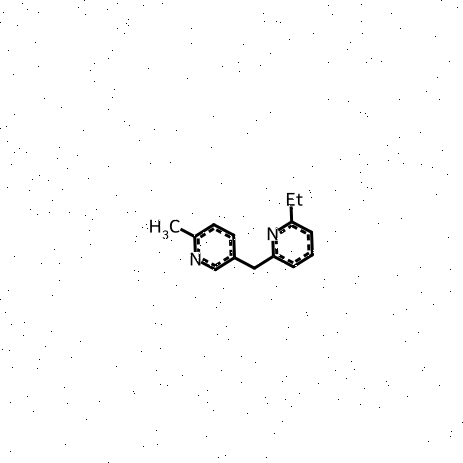 CCc1cccc(Cc2ccc(C)nc2)n1